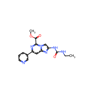 CCNC(=O)Nc1cn2c(C(=O)OC)nc(-c3cccnc3)cc2n1